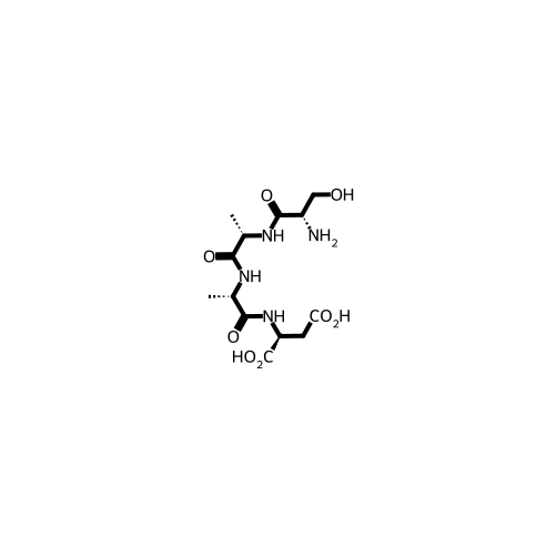 C[C@H](NC(=O)[C@H](C)NC(=O)[C@@H](N)CO)C(=O)N[C@@H](CC(=O)O)C(=O)O